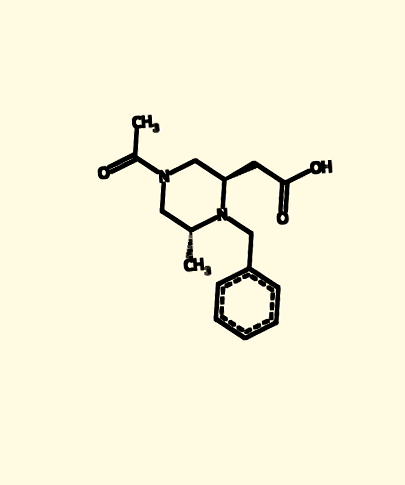 CC(=O)N1C[C@@H](CC(=O)O)N(Cc2ccccc2)[C@H](C)C1